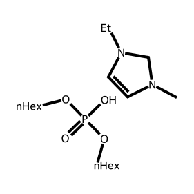 CCCCCCOP(=O)(O)OCCCCCC.CCN1C=CN(C)C1